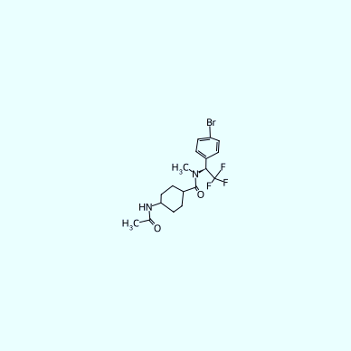 CC(=O)NC1CCC(C(=O)N(C)[C@@H](c2ccc(Br)cc2)C(F)(F)F)CC1